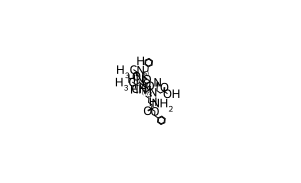 CC(=O)N[C@@H](Cc1ccccc1)C(=O)N[C@H](C(=O)N[C@@H](CCCC(N)C(=O)OCc1ccccc1)C(=O)NC(C#N)CC(=O)O)C(C)C